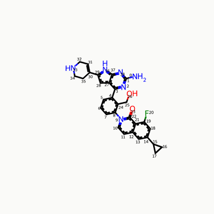 Nc1nc(-c2cccc(-n3ccc4cc(C5CC5)cc(F)c4c3=O)c2CO)c2cc(C3=CCNCC3)[nH]c2n1